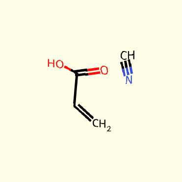 C#N.C=CC(=O)O